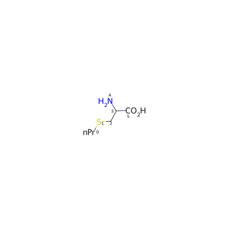 CCCSCC(N)C(=O)O